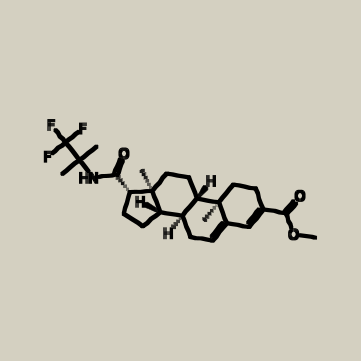 COC(=O)C1=CC2=CC[C@H]3[C@@H]4CC[C@H](C(=O)NC(C)(C)C(F)(F)F)[C@@]4(C)CC[C@@H]3[C@@]2(C)CC1